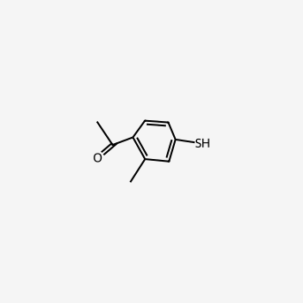 CC(=O)c1ccc(S)cc1C